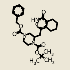 CC(C)(C)OC(=O)N1CCN(C(=O)OCc2ccccc2)CC1Cc1n[nH]c(=O)c2c1CCCC2